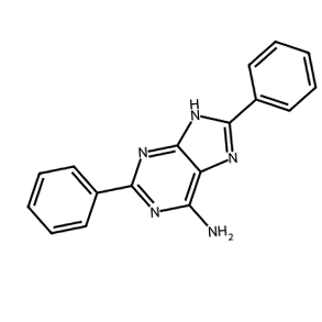 Nc1nc(-c2ccccc2)nc2[nH]c(-c3ccccc3)nc12